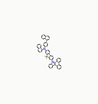 CC1(C)c2cc(N(c3ccc(-c4cccc5ccccc45)cc3)c3cccc4ccccc34)ccc2-c2ccc(-n3c4ccccc4c4c5ccccc5c5ccccc5c43)cc21